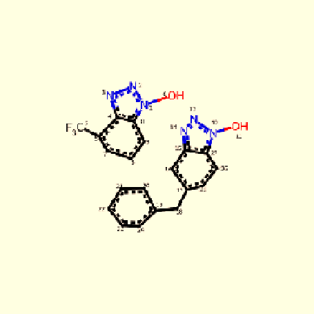 On1nnc2c(C(F)(F)F)cccc21.On1nnc2cc(Cc3ccccc3)ccc21